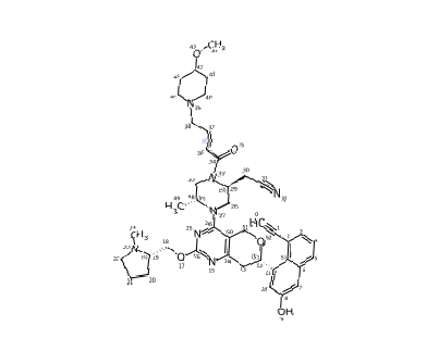 C#Cc1cccc2cc(O)cc([C@@H]3Cc4nc(OC[C@@H]5CCCN5C)nc(N5C[C@H](CC#N)N(C(=O)/C=C/CN6CCC(OC)CC6)C[C@H]5C)c4CO3)c12